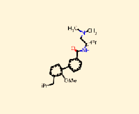 COc1c(CC(C)C)cccc1-c1cccc(C(=O)N[C@H](CN(C)C)C(C)C)c1